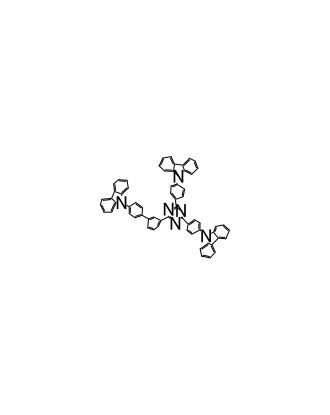 c1cc(-c2ccc(-n3c4ccccc4c4ccccc43)cc2)cc(-c2nc(-c3ccc(-n4c5ccccc5c5ccccc54)cc3)nc(-c3ccc(-n4c5ccccc5c5ccccc54)cc3)n2)c1